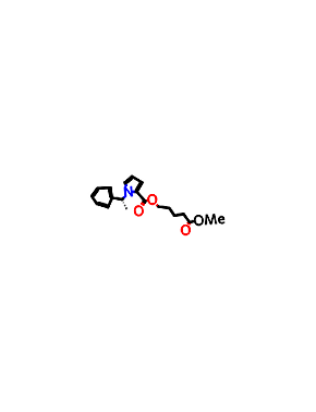 COC(=O)CCCCOC(=O)c1cccn1[C@H](C)c1ccccc1